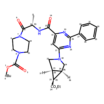 CCCCOC(=O)N1CCN(C(=O)[C@H](C)NC(=O)c2cc(N3C[C@@H]4[C@H](C3)[C@@H]4C(=O)OCC)nc(-c3ccccc3)n2)CC1